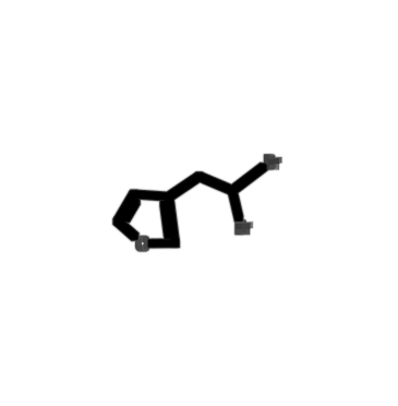 BrC(Br)Cc1ccoc1